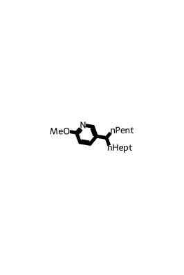 CCCCCCCC(CCCCC)c1ccc(OC)nc1